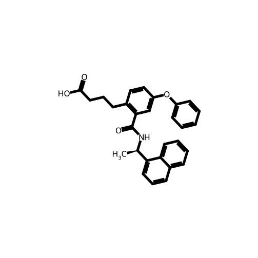 C[C@@H](NC(=O)c1cc(Oc2ccccc2)ccc1CCCC(=O)O)c1cccc2ccccc12